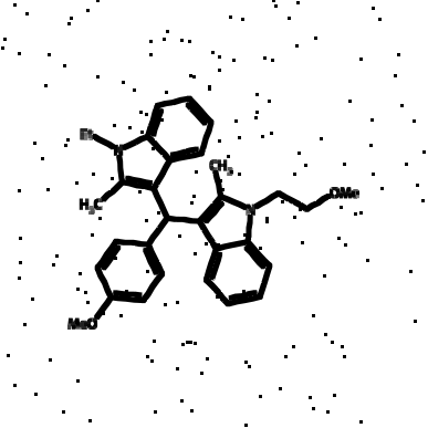 CCn1c(C)c(C(c2ccc(OC)cc2)c2c(C)n(CCOC)c3ccccc23)c2ccccc21